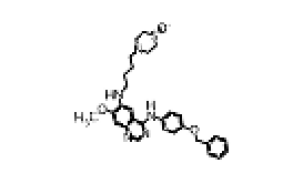 COc1cc2ncnc(Nc3ccc(OCc4ccccc4)cc3)c2cc1NCCCCN1CC[S+]([O-])CC1